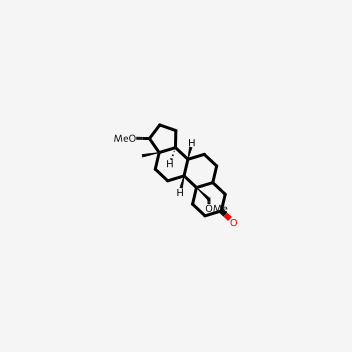 COC[C@]12CCC(=O)CC1CC[C@@H]1[C@H]2CC[C@]2(C)C(OC)CC[C@@H]12